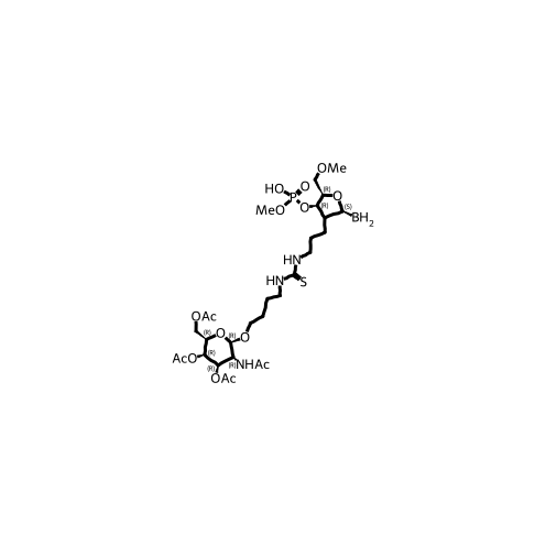 B[C@@H]1O[C@H](COC)[C@H](OP(=O)(O)OC)C1CCCNC(=S)NCCCCO[C@@H]1O[C@H](COC(C)=O)[C@H](OC(C)=O)[C@H](OC(C)=O)[C@H]1NC(C)=O